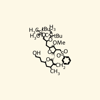 C=C1C(C)CC(CCCO)O[C@@H]1C[C@@H]1OC(CC(CO[Si](C)(C)C(C)(C)C)O[Si](C)(C)C(C)(C)C)[C@H](OC)C1CS(=O)(=O)c1ccccc1